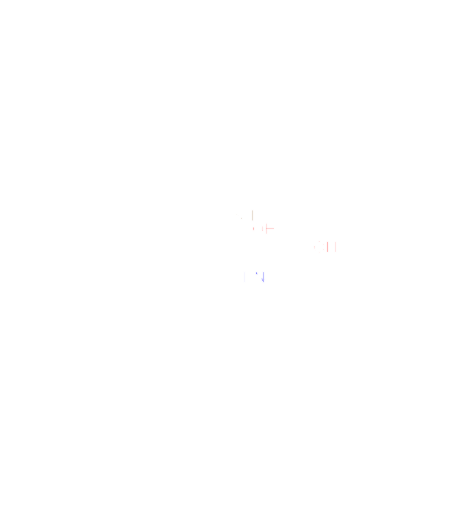 OC1CCNC(O)(/C(Cc2ccccc2)=C(\S)CCc2ccccc2)C1